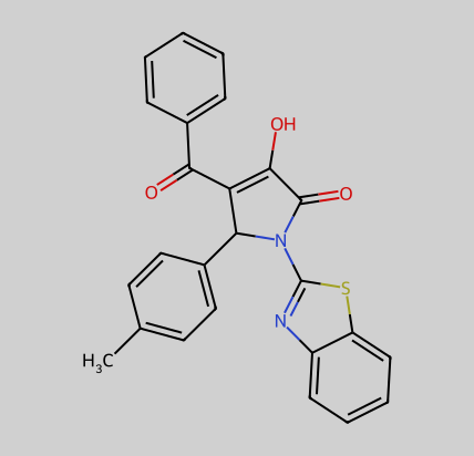 Cc1ccc(C2C(C(=O)c3ccccc3)=C(O)C(=O)N2c2nc3ccccc3s2)cc1